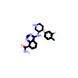 Cc1ccc([C@H]2CCNC[C@@H]2Nc2ncnc3c(C(N)=O)cccc23)cc1F